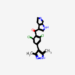 Cc1n[nH]c(C)c1-c1cc(Cl)c(C(=O)c2c[nH]c3cnccc23)c(Cl)c1